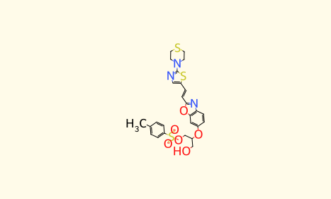 Cc1ccc(S(=O)(=O)OCC(CO)Oc2ccc3nc(/C=C/c4cnc(N5CCSCC5)s4)oc3c2)cc1